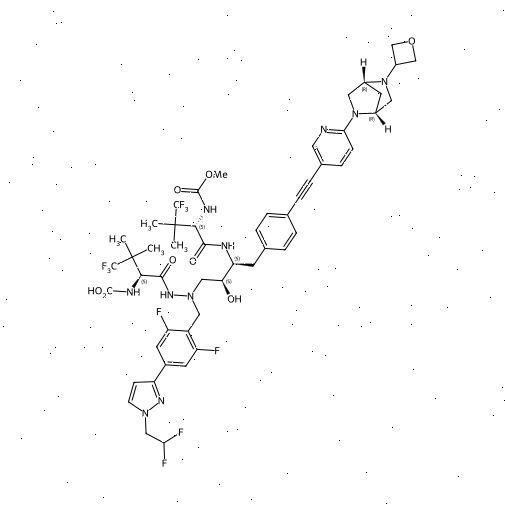 COC(=O)N[C@H](C(=O)N[C@@H](Cc1ccc(C#Cc2ccc(N3C[C@H]4C[C@@H]3CN4C3COC3)nc2)cc1)[C@@H](O)CN(Cc1c(F)cc(-c2ccn(CC(F)F)n2)cc1F)NC(=O)[C@@H](NC(=O)O)C(C)(C)C(F)(F)F)C(C)(C)C(F)(F)F